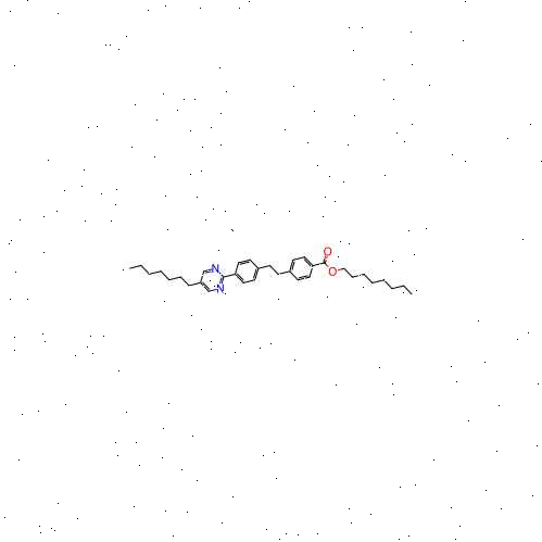 CCCCCCCCOC(=O)c1ccc(CCc2ccc(-c3ncc(CCCCCCC)cn3)cc2)cc1